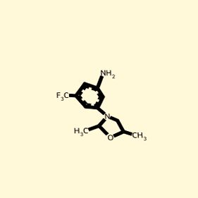 CC1CN(c2cc(N)cc(C(F)(F)F)c2)C(C)O1